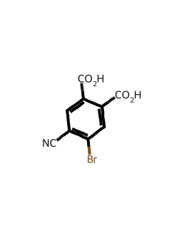 N#Cc1cc(C(=O)O)c(C(=O)O)cc1Br